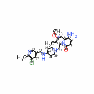 C=C/C(=C\c1c(N)ccc(=O)n1CCN1CCC(NCc2cnc(C)c(Cl)c2)CC1)OC